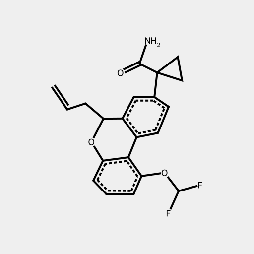 C=CCC1Oc2cccc(OC(F)F)c2-c2ccc(C3(C(N)=O)CC3)cc21